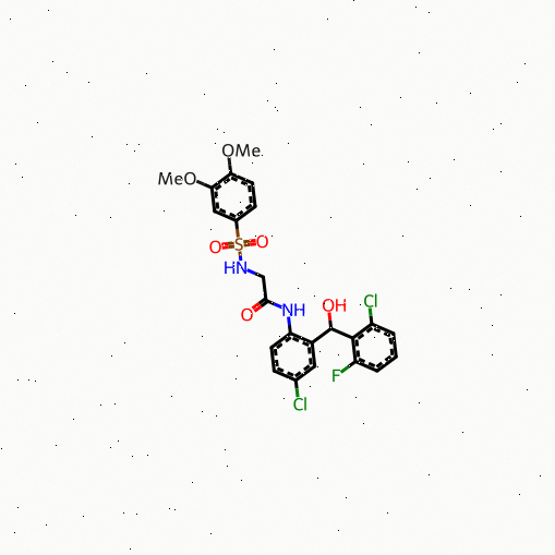 COc1ccc(S(=O)(=O)NCC(=O)Nc2ccc(Cl)cc2C(O)c2c(F)cccc2Cl)cc1OC